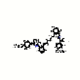 COc1ccc(N(C)/N=C/c2cccc[n+]2CCCCCC[n+]2ccccc2/C=N/N(C)c2ccc(OC)cc2)cc1